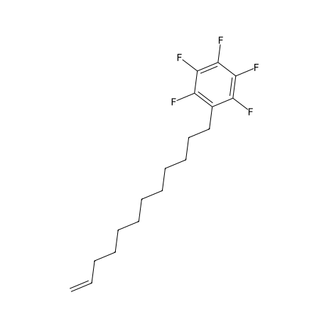 C=CCCCCCCCCCCc1c(F)c(F)c(F)c(F)c1F